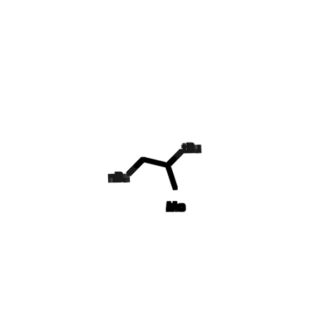 CCCCCC(C)C(C)(C)C.[Mo]